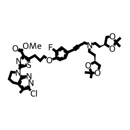 COC(=O)c1nc(N2CCCc3c2nnc(Cl)c3C)sc1CCCOc1ccc(C#CCN(CC[C@H]2COC(C)(C)O2)CC[C@H]2COC(C)(C)O2)cc1F